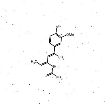 C/C=C(\C=C(/C)c1ccc(CCC)c(OC)c1)NC(N)=O